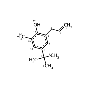 C=CCc1cc(C(C)(C)C)cc(C)c1O